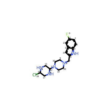 Fc1ccc2[nH]c(CN3CCN(C4CNC(Cl)CN4)CC3)cc2c1